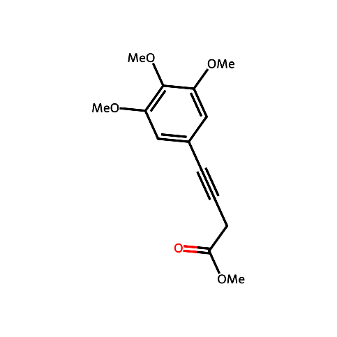 COC(=O)CC#Cc1cc(OC)c(OC)c(OC)c1